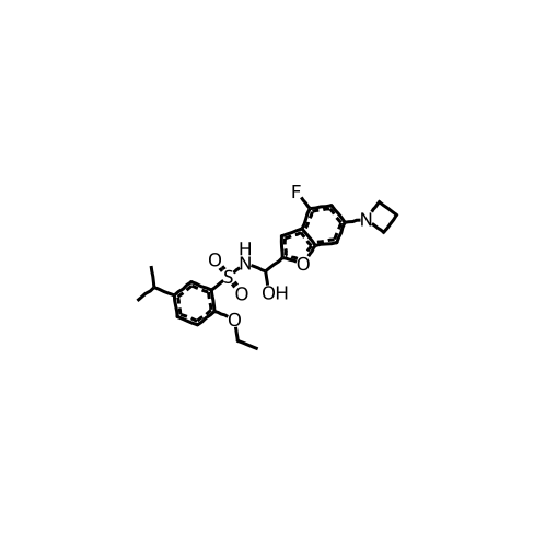 CCOc1ccc(C(C)C)cc1S(=O)(=O)NC(O)c1cc2c(F)cc(N3CCC3)cc2o1